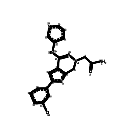 NC(=O)CN1Cc2sc(-c3cccc(Cl)c3)cc2C(Nc2cccnc2)=N1